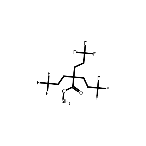 O=C(O[SiH3])C(CCC(F)(F)F)(CCC(F)(F)F)CCC(F)(F)F